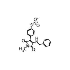 CN1C(=O)C(NCc2ccccc2)=C(c2ccc(S[N+](=O)[O-])cc2)C1=O